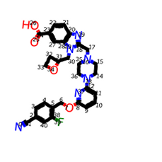 N#Cc1ccc(COc2cccc(N3CCN(Cc4nc5ccc(C(=O)O)cc5n4CC4CCO4)CC3)n2)c(F)c1